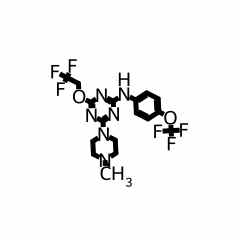 CN1CCN(c2nc(Nc3ccc(OC(F)(F)F)cc3)nc(OCC(F)(F)F)n2)CC1